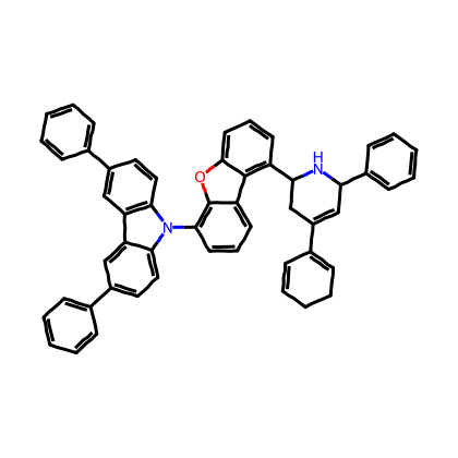 C1=CC(C2=CC(c3ccccc3)NC(c3cccc4oc5c(-n6c7ccc(-c8ccccc8)cc7c7cc(-c8ccccc8)ccc76)cccc5c34)C2)=CCC1